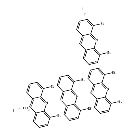 CCc1cccc2[s+]c3cccc(CC)c3nc12.CCc1cccc2[s+]c3cccc(CC)c3nc12.CCc1cccc2[s+]c3cccc(CC)c3nc12.CCc1cccc2[s+]c3cccc(CC)c3nc12.O.[I-].[I-].[I-].[I-]